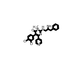 Cn1c(NCC(N)Cc2ccccc2)nc(-c2ccncc2)c(-c2ccc(Cl)c(Cl)c2)c1=O